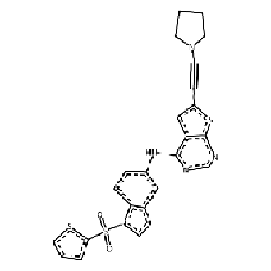 O=S(=O)(c1cccs1)n1ccc2cc(Nc3ncnc4sc(C#CN5CCCC5)cc34)ccc21